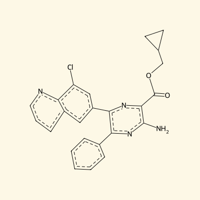 Nc1nc(-c2ccccc2)c(-c2cc(Cl)c3ncccc3c2)nc1C(=O)OCC1CC1